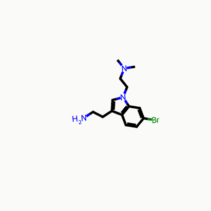 CN(C)CCn1cc(CCN)c2ccc(Br)cc21